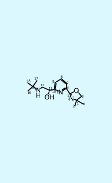 CC1(C)COC(c2cccc([C@@H](O)CNC(C)(C)C)n2)=N1